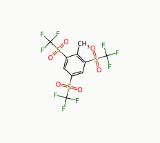 Cc1c(S(=O)(=O)C(F)(F)F)cc(S(=O)(=O)C(F)(F)F)cc1S(=O)(=O)C(F)(F)F